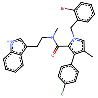 Cc1cn(Cc2ccccc2Br)c(C(=O)N(C)CCc2c[nH]c3ccccc23)c1-c1ccc(Cl)cc1